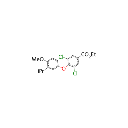 CCOC(=O)c1cc(Cl)c(Oc2ccc(OC)c(C(C)C)c2)c(Cl)c1